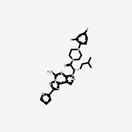 CC(C)CC[C@@H](C(=O)N1CCN(c2ccc(F)cc2F)CC1)n1ncc2c1nc(N)n1nc(-c3ccco3)nc21